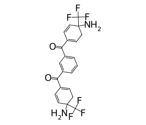 NC1(C(F)(F)F)C=CC(C(=O)c2cccc(C(=O)C3=CCC(N)(C(F)(F)F)C=C3)c2)=CC1